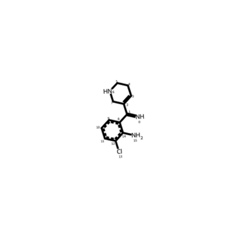 N=C(C1=CCCNC1)c1cccc(Cl)c1N